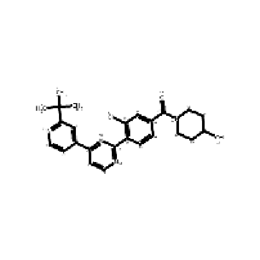 CC(C)(C)c1cc(-c2ccnc(-c3ccc(C(=O)N4CCC(O)CC4)cc3Cl)n2)ccn1